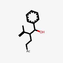 C=C(C)C(CCC(C)=O)C(O)c1ccccc1